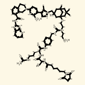 CCC1(Cn2ncc(-c3ccc(N4CCc5cccc(C(=O)Nc6nc7cccnc7s6)c5C4)nc3C(=O)O)c2C)CC2(C)CC(C)(C)CC(OCCN(CCS(=O)(=O)O)C(=O)OCc3ccc(NC(=O)[C@H](CCCNC(N)=O)NC(=O)C(NC(=O)CCCCCN4C(=O)C=CC4=O)C(C)C)cc3)(C2)C1